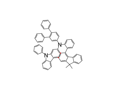 CC1(C)c2ccccc2-c2c(-c3ccccc3N(c3ccc(-c4ccccc4)c(-c4ccccc4)c3)c3ccc4c5ccccc5n(-c5ccccc5)c4c3)cccc21